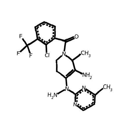 Cc1ccnc(N(N)C2=C(N)C(C)N(C(=O)c3cccc(C(F)(F)F)c3Cl)CC2)n1